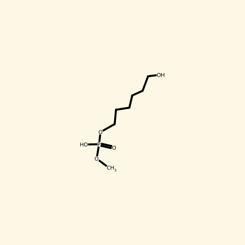 COP(=O)(O)OCCCCCCO